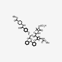 CC(C)(C)OC(=O)Nc1nc(/C(=N/O[C@@H](COc2ccc(C(=N)NC3CCN(C(=O)OC(C)(C)C)CC3)cc2)C(=O)OC(c2ccccc2)c2ccccc2)C(=O)N[C@@H]2C(=O)N(OS(=O)(=O)O)C2(C)C)c(Cl)s1